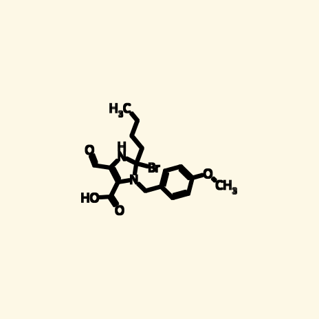 CCCCC1(Br)NC(C=O)=C(C(=O)O)N1Cc1ccc(OC)cc1